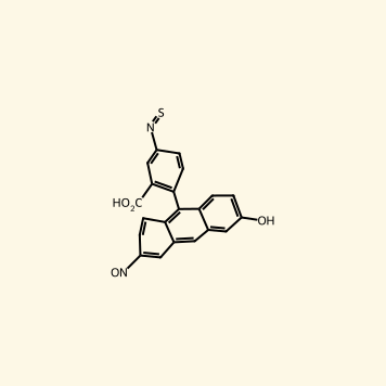 O=Nc1ccc2c(-c3ccc(N=S)cc3C(=O)O)c3ccc(O)cc3cc2c1